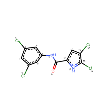 O=C(Nc1cc(Cl)cc(Cl)c1)c1cc(Cl)c(Cl)[nH]1